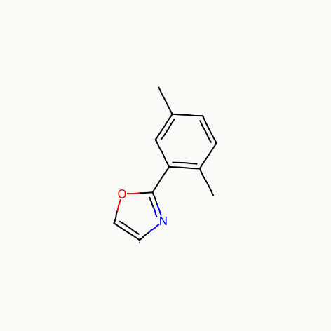 Cc1ccc(C)c(-c2n[c]co2)c1